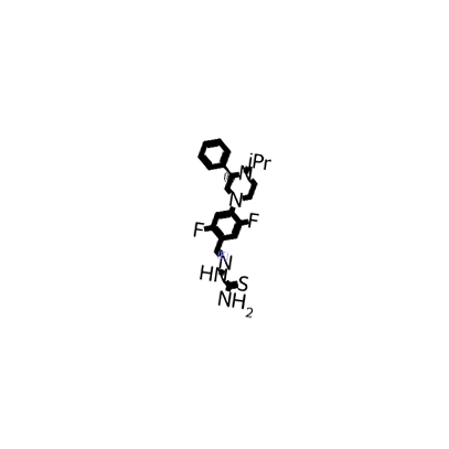 CC(C)N1CCN(c2cc(F)c(/C=N/NC(N)=S)cc2F)C[C@H]1c1ccccc1